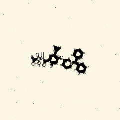 CC(I)S(=O)(=O)NC(=O)c1cc(C2CC2)c(O[C@@H]2CCCN(C(c3ccccc3)c3ccccc3)C2)cc1F